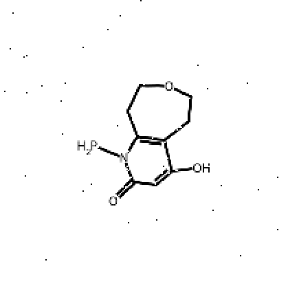 O=c1cc(O)c2c(n1P)CCOCC2